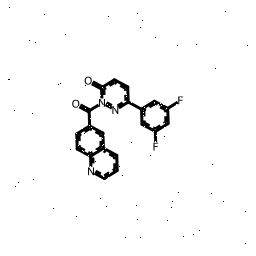 O=C(c1ccc2ncccc2c1)n1nc(-c2cc(F)cc(F)c2)ccc1=O